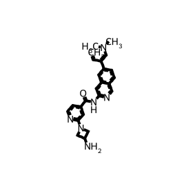 C=C/C(=C\N(C)C)c1ccc2cnc(NC(=O)c3ccnc(N4CC(N)C4)c3)cc2c1